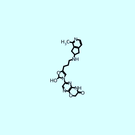 Cc1nccc2c1CC(NCCCC1=CN(c3cnc4c(n3)NC(=O)CO4)C(O)O1)C2